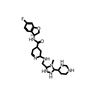 CN1C(CNC2CC(C(=O)N[C@@H]3COc4cc(F)ccc43)CC=N2)NNC1C1CCNCN1